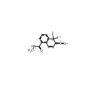 CNC(=O)c1cccc2c1C=CC(=C=O)C2(F)F